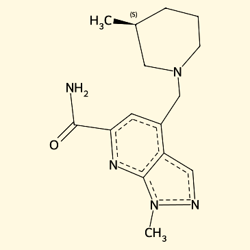 C[C@H]1CCCN(Cc2cc(C(N)=O)nc3c2cnn3C)C1